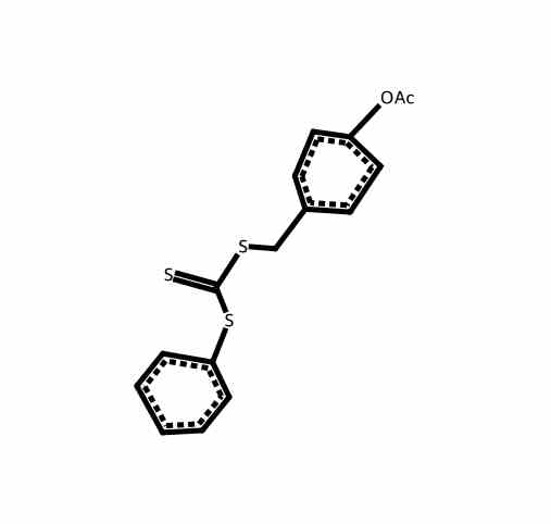 CC(=O)Oc1ccc(CSC(=S)Sc2ccccc2)cc1